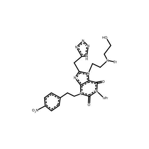 CCCn1c(=O)c2c(nc(Cc3nnn[nH]3)n2CCN(CC)CCO)n(CCc2ccc([N+](=O)[O-])cc2)c1=O